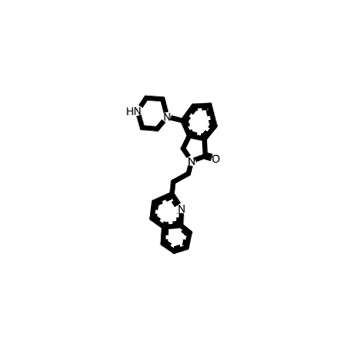 O=C1c2cccc(N3CCNCC3)c2CN1CCc1ccc2ccccc2n1